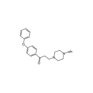 CCCN1CCN(CCC(=O)c2ccc(Oc3ccccc3)cc2)CC1